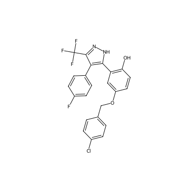 Oc1ccc(OCc2ccc(Cl)cc2)cc1-c1[nH]nc(C(F)(F)F)c1-c1ccc(F)cc1